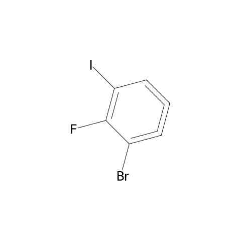 FC1=C(I)C=C=C=C1Br